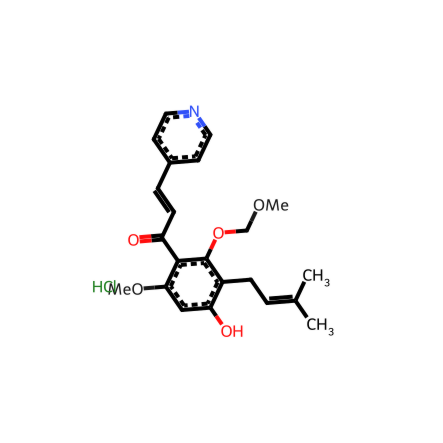 COCOc1c(CC=C(C)C)c(O)cc(OC)c1C(=O)C=Cc1ccncc1.Cl